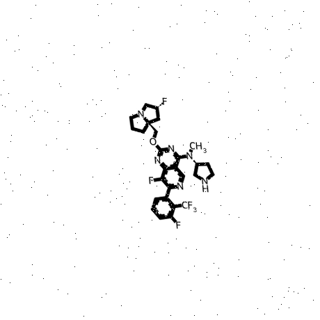 CN(c1nc(OC[C@@]23CCCN2C[C@H](F)C3)nc2c(F)c(-c3cccc(F)c3C(F)(F)F)ncc12)[C@@H]1CCNC1